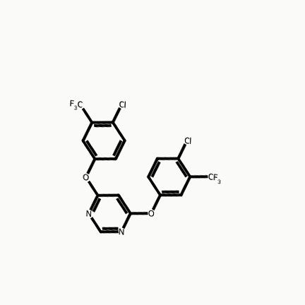 FC(F)(F)c1cc(Oc2cc(Oc3ccc(Cl)c(C(F)(F)F)c3)ncn2)ccc1Cl